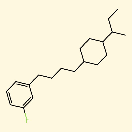 CCC(C)C1CCC(CCCCc2cccc(F)c2)CC1